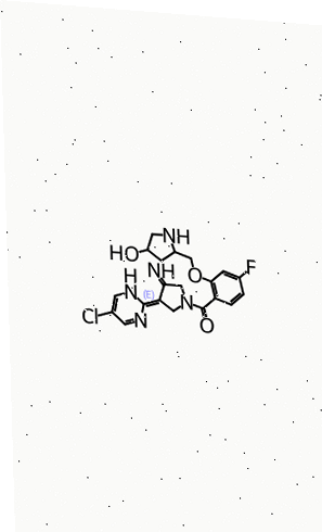 N=C1CN(C(=O)c2ccc(F)cc2OCC2CC(O)CN2)C/C1=C1\N=CC(Cl)=CN1